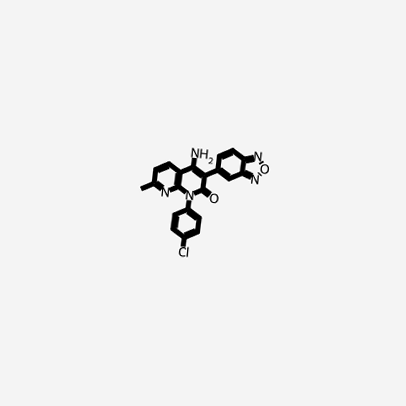 Cc1ccc2c(N)c(-c3ccc4nonc4c3)c(=O)n(-c3ccc(Cl)cc3)c2n1